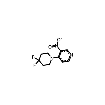 O=[N+]([O-])c1cnccc1N1CCC(F)(F)CC1